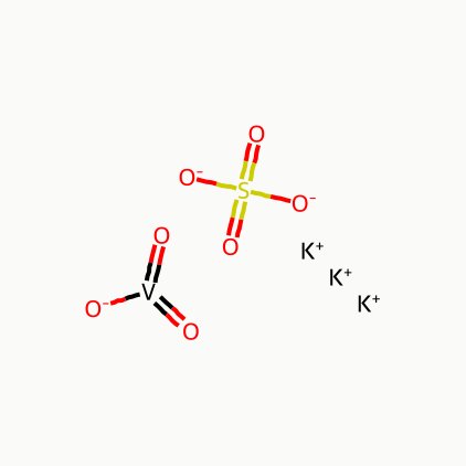 O=S(=O)([O-])[O-].[K+].[K+].[K+].[O]=[V](=[O])[O-]